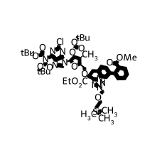 CCOC(=O)C(Cc1ccc(-c2ccccc2C(=O)OC)cc1)(OC[C@H]1O[C@@H](n2cnc3c(N(C(=O)OC(C)(C)C)C(=O)OC(C)(C)C)nc(Cl)nc32)[C@H](OC(=O)OC(C)(C)C)[C@@H]1C)c1nnn(COCC[Si](C)(C)C)n1